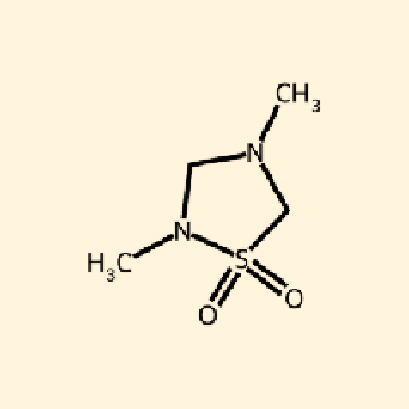 CN1CN(C)S(=O)(=O)C1